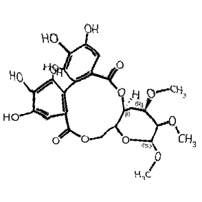 COC1[C@@H](OC)OC2COC(=O)c3cc(O)c(O)c(O)c3-c3c(cc(O)c(O)c3O)C(=O)O[C@H]2[C@H]1OC